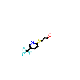 O=CCCSc1ccc(C(F)(F)F)cn1